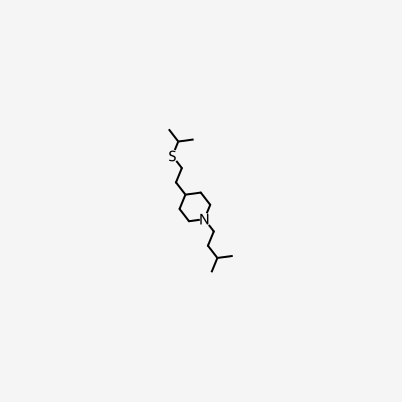 CC(C)CCN1CCC(CCSC(C)C)CC1